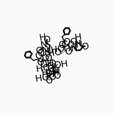 O=c1ccn([C@@H]2O[C@H](C(O)OP(=O)(O)OP(=O)(O)OP(=O)(O)O)[C@]3(O)OC(Cc4ccccc4)O[C@]23O)c(=O)[nH]1.O=c1ccn([C@@H]2O[C@H](CO)[C@]3(O)OC(Cc4ccccc4)O[C@]23O)c(=O)[nH]1